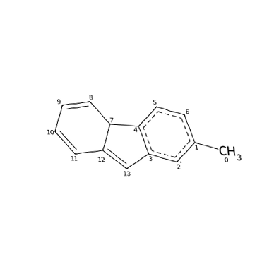 Cc1[c]c2c(cc1)C1C=CC=CC1=C2